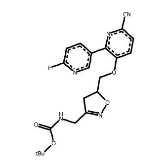 CC(C)(C)OC(=O)NCC1=NOC(COc2ccc(C#N)nc2-c2ccc(F)nc2)C1